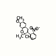 COc1ccc2c(c1)OC(C)(C)C(c1ccccc1[N+](=O)[O-])=C2